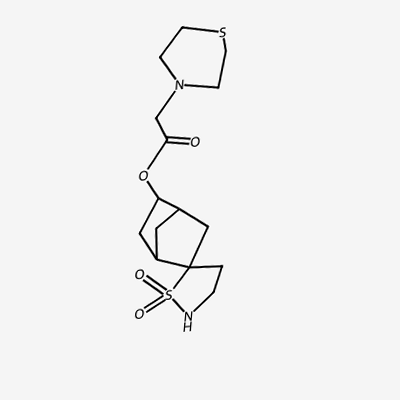 O=C(CN1CCSCC1)OC1CC2CC1CC21CCNS1(=O)=O